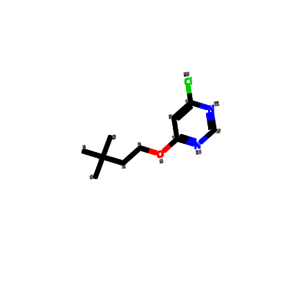 CC(C)(C)CCOc1cc(Cl)ncn1